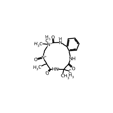 CC1C(=O)NC(C)(C)C(=O)Nc2ccccc2NC(=O)[N+](C)(C)C[N+]1=O